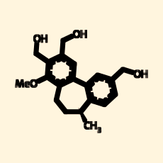 COc1c(CO)c(CO)cc2c1CC[C@H](C)c1ccc(CO)cc1-2